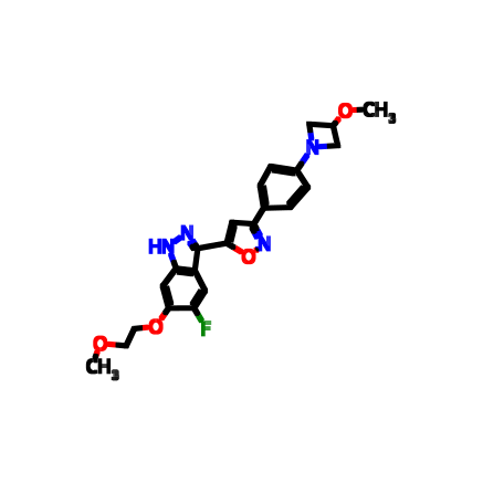 COCCOc1cc2[nH]nc(-c3cc(-c4ccc(N5CC(OC)C5)cc4)no3)c2cc1F